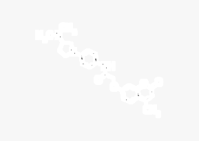 Cc1cc(=O)oc2cc(OCC(=O)Nc3ccc(N4CCC(N(C)C)C4)cc3)ccc12